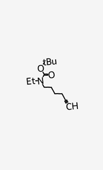 C#CCCCCN(CC)C(=O)OC(C)(C)C